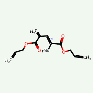 C=CCOC(=O)C(=C)/C=C(\CCCC)C(=O)OCC=C